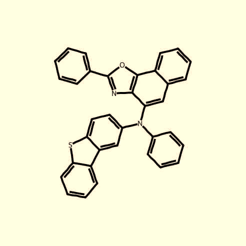 c1ccc(-c2nc3c(N(c4ccccc4)c4ccc5sc6ccccc6c5c4)cc4ccccc4c3o2)cc1